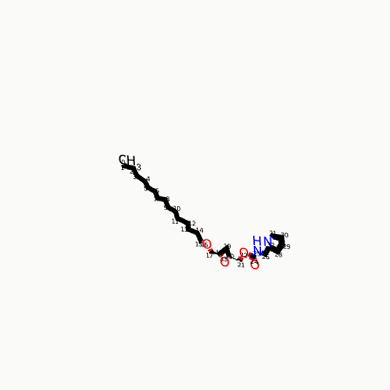 CCCCCCCCCCCCCCCCOC[C@H]1C[C@H](COC(=O)NCc2ccccn2)O1